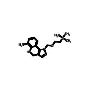 C[Si](C)(C)CCOCn1ncc2c1-c1cccc(N)c1NC2